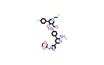 Nc1ncc(-c2cnn(C[C@H]3COCCO3)c2)cc1-c1ccc(NC(=O)c2cn(CCF)cc(-c3ccc(F)cc3)c2=O)cc1